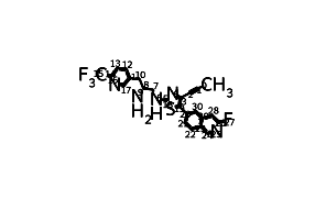 CC#Cc1nc(NC[C@@H](N)Cc2ccc(C(F)(F)F)nc2)sc1-c1ccc2cnc(F)cc2c1